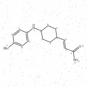 CC(C)(C)c1ccc(NC2CCC(C=CC(N)=O)CC2)cc1